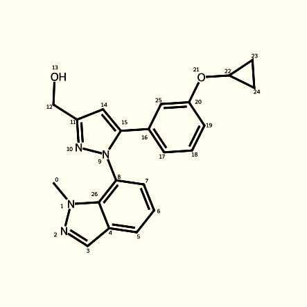 Cn1ncc2cccc(-n3nc(CO)cc3-c3cccc(OC4CC4)c3)c21